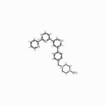 CC(C)N1CCN(Cc2ccc(-c3cncc(-c4ccnc(-c5ccccn5)n4)c3)cc2)CC1